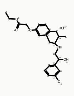 CCOC(=O)COc1ccc2c(c1)CC(NC[C@@H](O)c1cccc(Cl)c1)C(C)C2.Cl